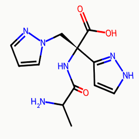 CC(N)C(=O)N[C@](Cn1cccn1)(C(=O)O)c1cc[nH]n1